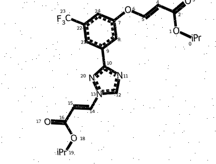 CC(C)OC(=O)C=COc1cc(-c2ncn(C=CC(=O)OC(C)C)n2)cc(C(F)(F)F)c1